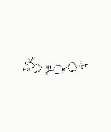 CS(=O)(=O)c1cc(NC(=O)C2CCN(c3ccc(C(F)(F)F)cc3)CC2)ccc1O